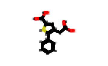 O=C(O)Cc1cc(C(=O)O)sc1-c1ccccc1